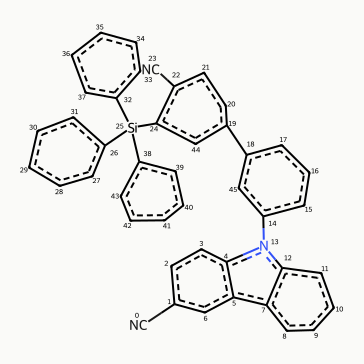 N#Cc1ccc2c(c1)c1ccccc1n2-c1cccc(-c2ccc(C#N)c([Si](c3ccccc3)(c3ccccc3)c3ccccc3)c2)c1